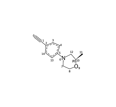 C#Cc1ccc(N2CCO[C@H](C)C2)cc1